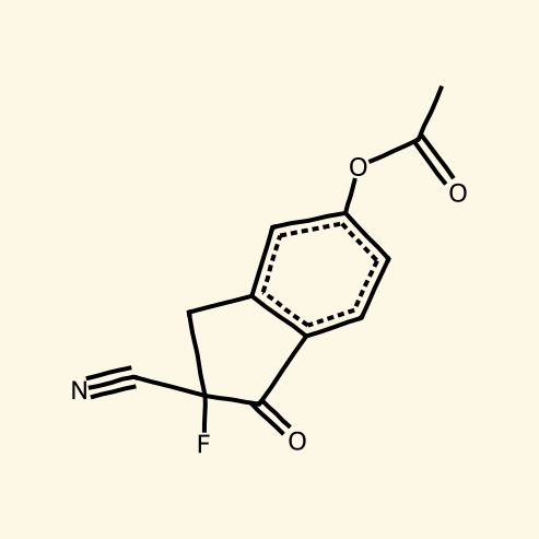 CC(=O)Oc1ccc2c(c1)CC(F)(C#N)C2=O